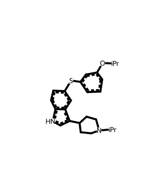 CC(C)Oc1cccc(Sc2ccc3[nH]cc(C4CCN(C(C)C)CC4)c3c2)c1